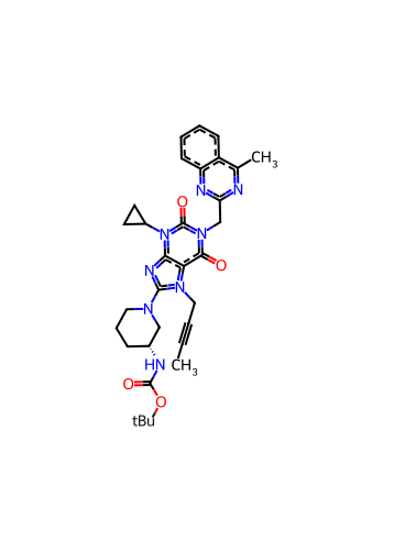 CC#CCn1c(N2CCC[C@@H](NC(=O)OC(C)(C)C)C2)nc2c1c(=O)n(Cc1nc(C)c3ccccc3n1)c(=O)n2C1CC1